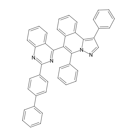 c1ccc(-c2ccc(-c3nc(-c4c(-c5ccccc5)n5ncc(-c6ccccc6)c5c5ccccc45)c4ccccc4n3)cc2)cc1